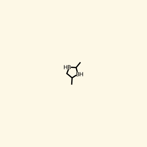 CC1BCC(C)B1